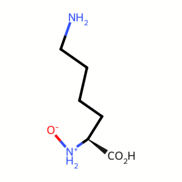 NCCCC[C@H]([NH2+][O-])C(=O)O